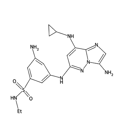 CCNS(=O)(=O)c1cc(N)cc(Nc2cc(NC3CC3)c3ncc(N)n3n2)c1